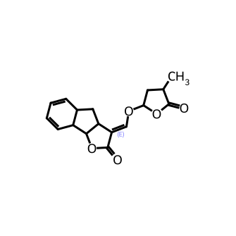 CC1CC(O/C=C2/C(=O)OC3C2CC2C=CC=CC23)OC1=O